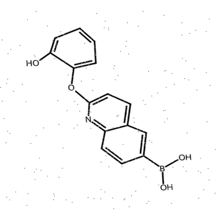 OB(O)c1ccc2nc(Oc3ccccc3O)ccc2c1